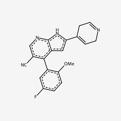 COc1ccc(F)cc1-c1c(C#N)cnc2[nH]c(C3=CCN=CC3)cc12